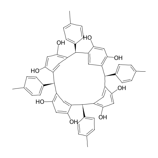 Cc1ccc([C@H]2c3cc(c(O)cc3O)[C@@H](c3ccc(C)cc3)c3cc(c(O)cc3O)[C@@H](c3ccc(C)cc3)c3cc(c(O)cc3O)[C@@H](c3ccc(C)cc3)c3cc2c(O)cc3O)cc1